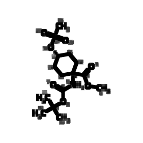 COC(=O)[C@]1(NC(=O)OC(C)(C)C)CC[C@H](OS(C)(=O)=O)CC1